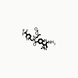 CC(CN(C)N(Cc1ccc(C(F)(F)F)cn1)C(=O)c1ccc2nc(N)c3cnn(C)c3c2c1)OC=O